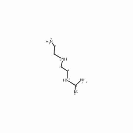 [CH2]CC(N)NCCNCCN